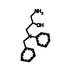 NCC(O)CN(Cc1ccccc1)c1ccccc1